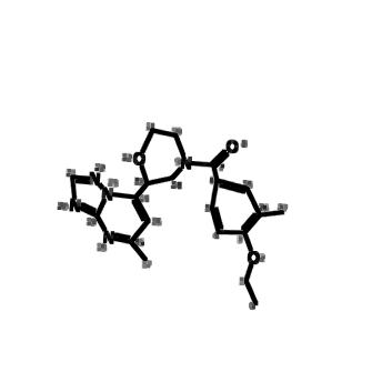 CCOc1ccc(C(=O)N2CCOC(c3cc(C)nc4ncnn34)C2)cc1C